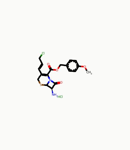 COc1ccc(COC(=O)C2=C(C=CCCl)CSC3[C@H](N)C(=O)N23)cc1.Cl